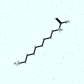 C=C(CC)NCCCCCCCCN